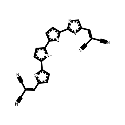 N#CC(C#N)=Cc1ccc(-c2ccc(-c3ccc(-c4ncc(C=C(C#N)C#N)s4)o3)[nH]2)s1